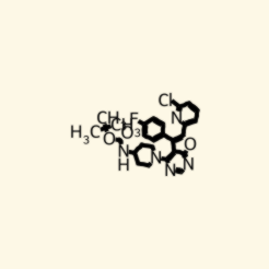 CC(C)(C)OC(=O)NC1CCN(c2ncnc3oc(-c4cccc(Cl)n4)c(-c4ccc(F)cc4)c23)CC1